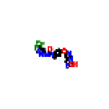 Cn1nc(NC(=O)n2ccc3cc(Oc4cc(/C=[N+](/C)O)ncn4)ccc32)cc1C(F)(F)F